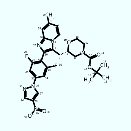 Cc1ccn2c(C[C@H]3CN(C(=O)OC(C)(C)C)CCO3)c(-c3c(F)cc(-n4cc([N+](=O)[O-])cn4)cc3F)nc2c1